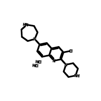 Cl.Cl.Clc1cc2cc(N3CCCNCC3)ccc2nc1N1CCNCC1